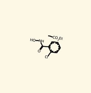 CCOC(C)=O.O=C(NO)c1ccccc1Cl